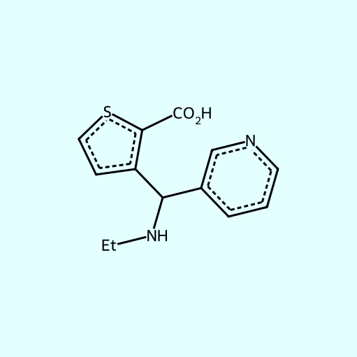 CCNC(c1cccnc1)c1ccsc1C(=O)O